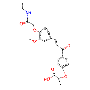 CCNC(=O)COc1ccc(/C=C/C(=O)c2ccc(OC(C)C(=O)O)cc2)cc1OC